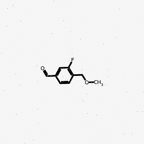 COCc1ccc(C=O)cc1F